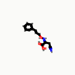 N#CC/C(=N/OC/C=C/c1ccccc1)C(=O)O